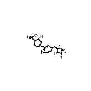 O=C(O)NC1CCN(c2nccc(/C=C3/SC(=O)NC3=O)n2)CC1